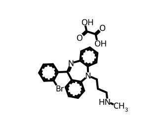 CNCCCN1c2ccccc2N=C(c2ccccc2Br)c2ccccc21.O=C(O)C(=O)O